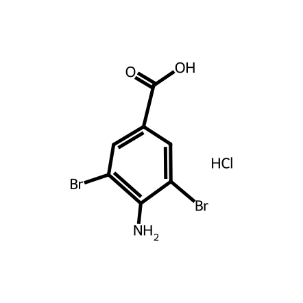 Cl.Nc1c(Br)cc(C(=O)O)cc1Br